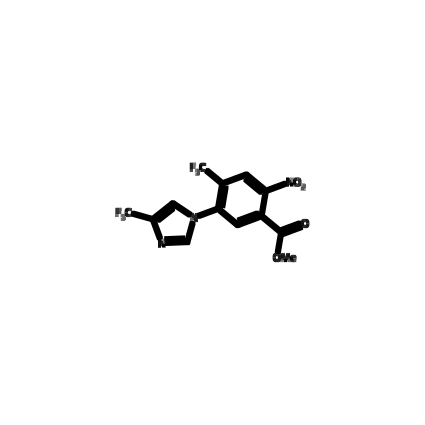 COC(=O)c1cc(-n2cnc(C(F)(F)F)c2)c(C(F)(F)F)cc1[N+](=O)[O-]